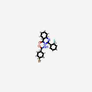 O=C(Nn1c(-c2ccccc2F)nc2ccccc2c1=O)c1ccc(Br)cc1